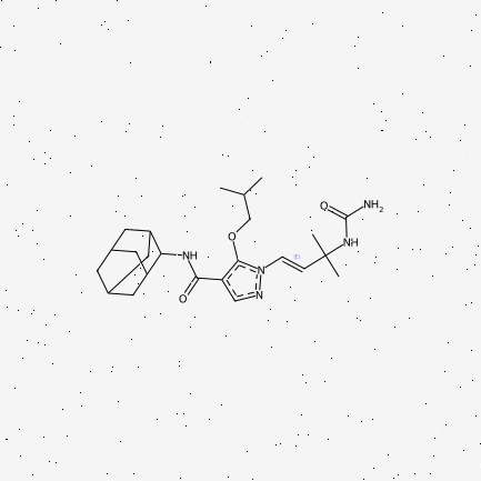 CC(C)COc1c(C(=O)NC2C3CC4CC(C3)CC2C4)cnn1/C=C/C(C)(C)NC(N)=O